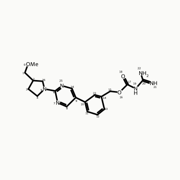 COCC1CCN(c2ncc(-c3cccc(COC(=O)NC(=N)N)c3)cn2)C1